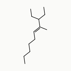 CCCCC/C=C(\C)C(CC)CC